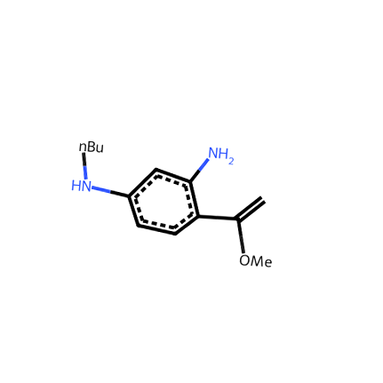 C=C(OC)c1ccc(NCCCC)cc1N